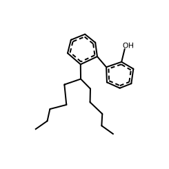 CCCCCC(CCCCC)c1ccccc1-c1ccccc1O